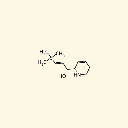 CS(C)(C)/C=C/[C@@H](O)[C@@H]1C=CCCN1